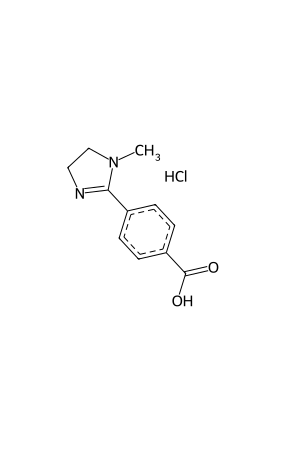 CN1CCN=C1c1ccc(C(=O)O)cc1.Cl